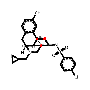 Cc1ccc2c(c1)[C@]13CCN(CC4CC4)[C@H](C2)[C@]12CCC(NS(=O)(=O)c1ccc(Cl)cc1)(CO2)C3